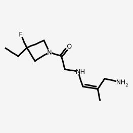 CCC1(F)CN(C(=O)CN/C=C(/C)CN)C1